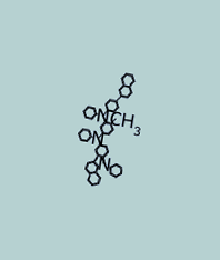 Cc1ccc(N(c2ccccc2)c2ccc3c(c2)c2ccc4ccccc4c2n3-c2ccccc2)cc1N(c1ccccc1)c1ccc(-c2ccc3ccccc3c2)cc1